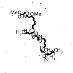 C/C=C/CC(C)(C)[C@H](C/C=C\O[C@@H](C)/C=C/C=C\c1nc(C(=O)O[C@@H](C\C=C/C=C\C=C\[C@@H](Cc2nc(C(=O)OC)co2)OC)C(C)(C)C/C=C/C)co1)OSI